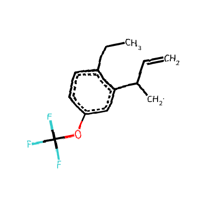 [CH2]C(C=C)c1cc(OC(F)(F)F)ccc1CC